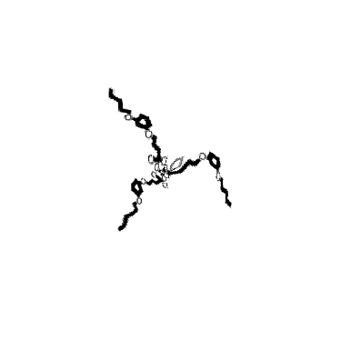 CCCCCOc1cccc(OCCCC(Cl)(Cl)OP(OC(Cl)(Cl)CCCOc2cccc(OCCCCC)c2)OC(Cl)(Cl)CCCOc2cccc(OCCCCC)c2)c1